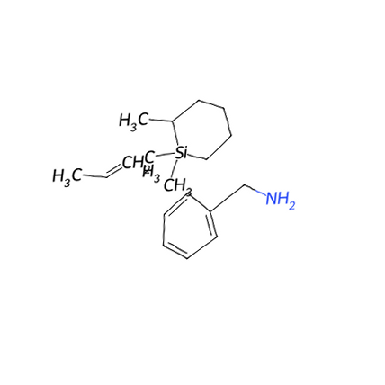 C=CC.CC1CCCC[Si]1(C)C.NCc1ccccc1